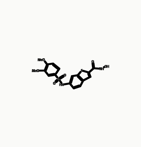 COc1ccc(S(=O)(=O)Nc2ccc3cc(C(=O)NO)sc3c2)cc1OC